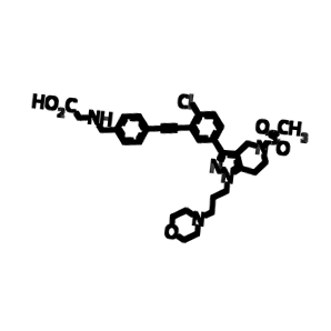 CS(=O)(=O)N1CCc2c(c(-c3ccc(Cl)c(C#Cc4ccc(CNCC(=O)O)cc4)c3)nn2CCCN2CCOCC2)C1